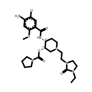 CCN1CCN(CCN2CC[C@@H](NC(=O)c3cc(Cl)c(N)cc3OC)[C@@H](OC(=O)N3CCCC3)C2)C1=O